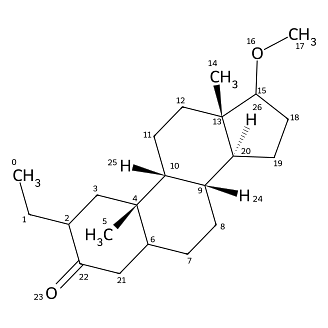 CCC1C[C@@]2(C)C(CC[C@@H]3[C@H]2CC[C@]2(C)C(OC)CC[C@@H]32)CC1=O